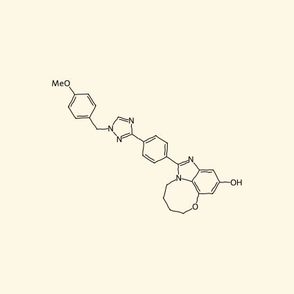 COc1ccc(Cn2cnc(-c3ccc(-c4nc5cc(O)cc6c5n4CCCCO6)cc3)n2)cc1